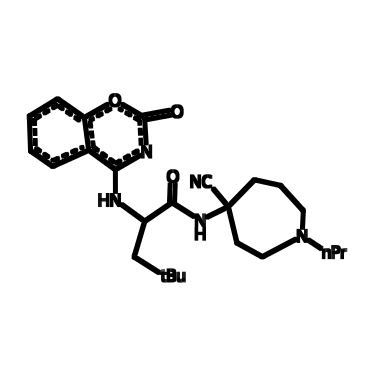 CCCN1CCCC(C#N)(NC(=O)C(CC(C)(C)C)Nc2nc(=O)oc3ccccc23)CC1